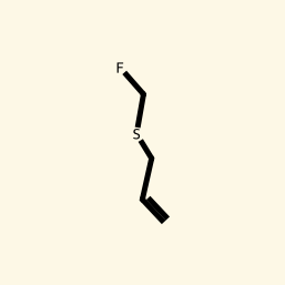 C=CCSCF